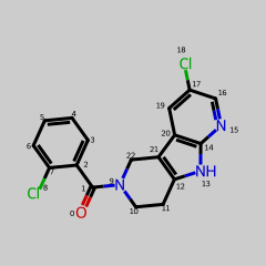 O=C(c1ccccc1Cl)N1CCc2[nH]c3ncc(Cl)cc3c2C1